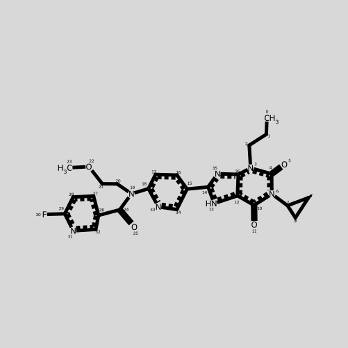 CCCn1c(=O)n(C2CC2)c(=O)c2[nH]c(-c3ccc(N(CCOC)C(=O)c4ccc(F)nc4)nc3)nc21